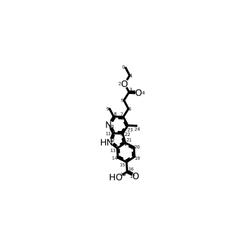 CCOC(=O)CCc1c(C)nc2[nH]c3cc(C(=O)O)ccc3c2c1C